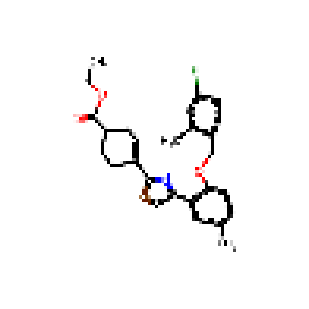 CCOC(=O)C1CC=C(c2nc(-c3cc(C)ccc3OCc3ccc(Br)cc3C)cs2)CC1